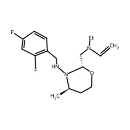 C=CN(CC)C[C@@H]1OCC[C@@H](C)N1NCc1ccc(F)cc1F